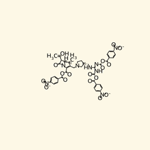 C[C@@H](O)C1C(=O)N2C(C(=O)OC(=O)c3ccc([N+](=O)[O-])cc3)=C(CN3CC[C@H](CNC(=NC(=O)OC(=O)c4ccc([N+](=O)[O-])cc4)NC(=O)OC(=O)c4ccc([N+](=O)[O-])cc4)C3)[C@H](C)[C@H]12